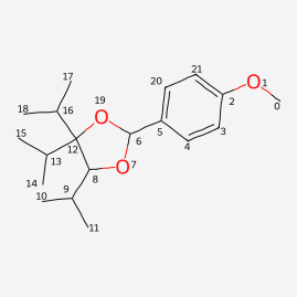 COc1ccc(C2OC(C(C)C)C(C(C)C)(C(C)C)O2)cc1